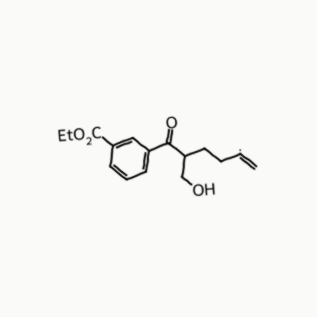 C=[C]CCC(CO)C(=O)c1cccc(C(=O)OCC)c1